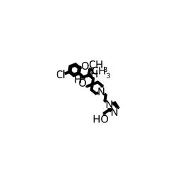 CC1(C)Oc2ccc(Cl)cc2[C@@H]2OCC3(CCN(CCn4ccnc4CO)CC3)C[C@H]21